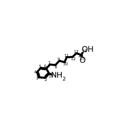 Nc1ccccc1CCCCCCCC(=O)O